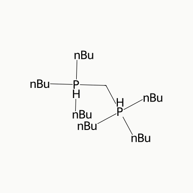 CCCC[PH](CCCC)(CCCC)C[PH](CCCC)(CCCC)CCCC